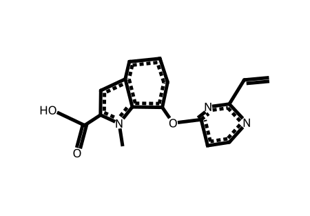 C=Cc1nccc(Oc2cccc3cc(C(=O)O)n(C)c23)n1